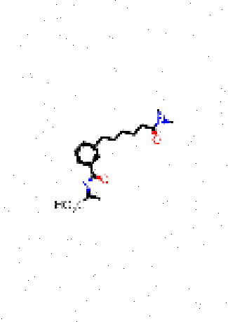 C/C(=N\C(=O)c1cccc(CCCCCC(=O)N(C)C)c1)C(=O)O